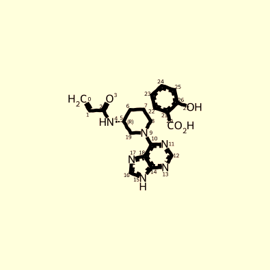 C=CC(=O)N[C@@H]1CCCN(c2ncnc3[nH]cnc23)C1.O=C(O)c1ccccc1O